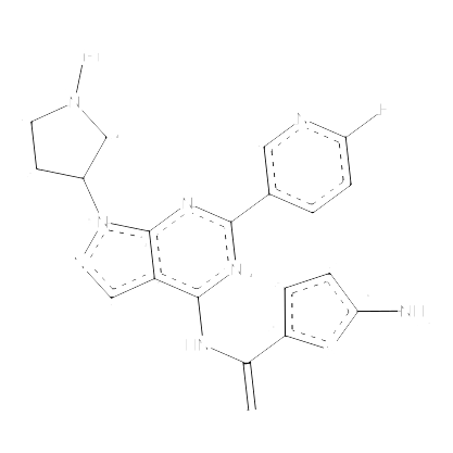 C=C(Nc1nc(-c2ccc(F)nc2)nc2c1cnn2C1CCN(C(C)C)C1)c1ccc(N)s1